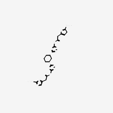 CNC1=NC(CC(=O)Nc2nnc([C@H]3CCC[C@H](c4nnc(NC(=O)Cc5csc(NC)n5)s4)C3)s2)=CC1